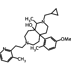 COc1ccc(C)c(C23CCN(CCc4ncccc4C)CCC2(O)C(C)N(CC2CC2)CC3)c1